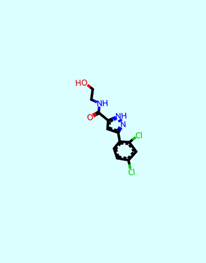 O=C(NCCO)c1cc(-c2ccc(Cl)cc2Cl)n[nH]1